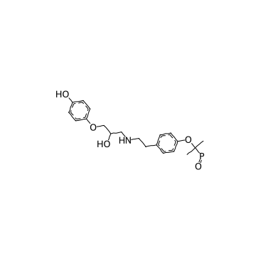 CC(C)(Oc1ccc(CCNCC(O)COc2ccc(O)cc2)cc1)P=O